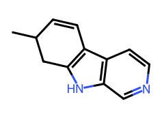 CC1C=Cc2c([nH]c3cnccc23)C1